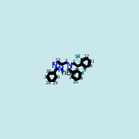 CCCCn1c(CN(CCc2c(F)cccc2F)Cc2ccccc2)cnc1-c1ccccc1